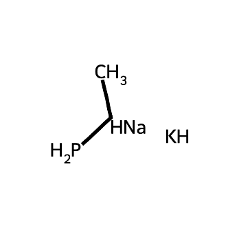 CCP.[KH].[NaH]